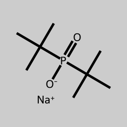 CC(C)(C)P(=O)([O-])C(C)(C)C.[Na+]